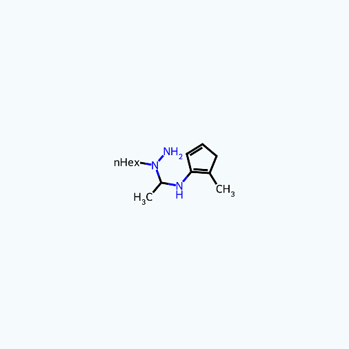 CCCCCCN(N)C(C)NC1=C(C)CC=C1